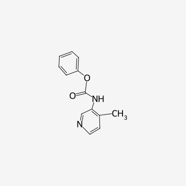 Cc1ccncc1NC(=O)Oc1ccccc1